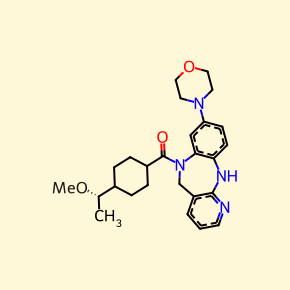 CO[C@@H](C)C1CCC(C(=O)N2Cc3cccnc3Nc3ccc(N4CCOCC4)cc32)CC1